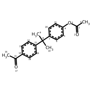 CC(=O)Oc1ccc(C(C)(C)c2ccc(C(C)=O)cc2)cc1